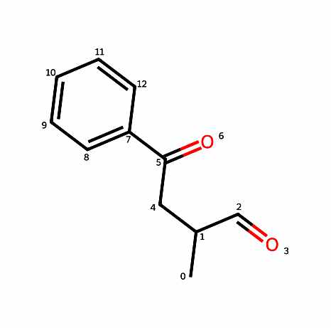 CC(C=O)CC(=O)c1ccccc1